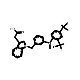 CN(c1cccc(Cn2cc(CC(=O)O)c3ccccc32)c1)c1ccc(C(F)(F)F)cc1C(F)(F)F